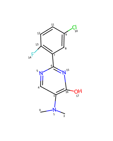 CN(C)c1cnc(-c2cc(Cl)ccc2F)nc1O